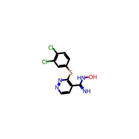 N=C(NO)c1ccnnc1Sc1ccc(Cl)c(Cl)c1